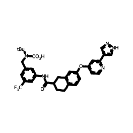 CC(C)(C)N(Cc1cc(NC(=O)C2CCc3ccc(Oc4ccnc(-c5cn[nH]c5)c4)cc3C2)cc(C(F)(F)F)c1)C(=O)O